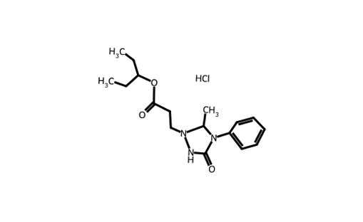 CCC(CC)OC(=O)CCN1NC(=O)N(c2ccccc2)C1C.Cl